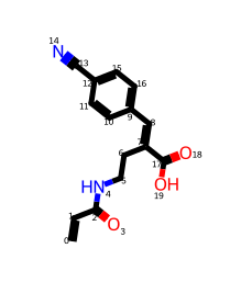 C=CC(=O)NCC/C(=C\c1ccc(C#N)cc1)C(=O)O